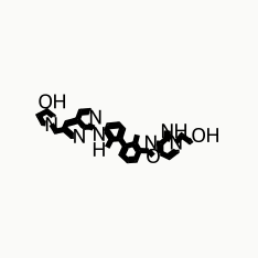 Cc1c(Nc2nccc3cc(CN4CC[C@@H](O)C4)cnc23)cccc1-c1cccc(-c2nc3c(=N)n(CCO)ccc3o2)c1C